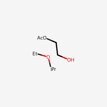 CC(=O)OCCO.CCOC(C)C